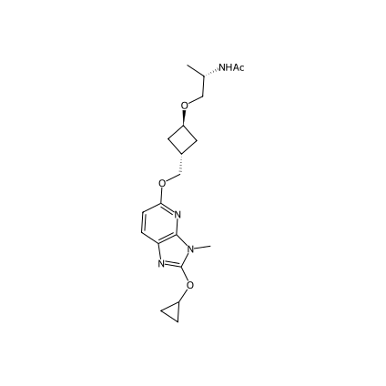 CC(=O)N[C@@H](C)CO[C@H]1C[C@H](COc2ccc3nc(OC4CC4)n(C)c3n2)C1